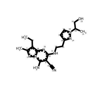 CCc1c(C)nn2c(N)c(C#N)c(NCCc3ccn(C(C)CO)n3)nc12